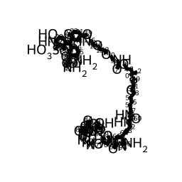 CC(C)(CCOC(=O)NCCOCCOCCNC(=O)c1ccc(C(=O)O)c(-c2c3ccc(=N)c(S(=O)(=O)O)c-3oc3c(S(=O)(=O)ON)c(N)ccc23)c1)SSCOCCCCCNC(=O)NCC#Cc1cn([C@H]2C[C@@H](OCN=[N+]=[N-])[C@@H](COP(=O)(O)OP(=O)(O)OP(=O)(O)O)O2)c(=O)nc1N